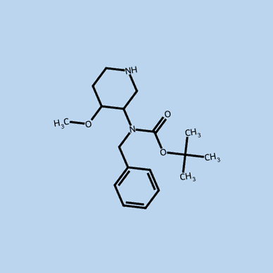 COC1CCNCC1N(Cc1ccccc1)C(=O)OC(C)(C)C